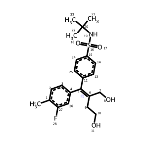 Cc1ccc(/C(=C(/CO)CCO)c2ccc(S(=O)(=O)NC(C)(C)C)cc2)cc1F